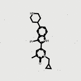 Cc1cc(-c2[nH]c3ccc(C4CCNCC4)cc3c2C(C)C)cn(CC2CC2)c1=O